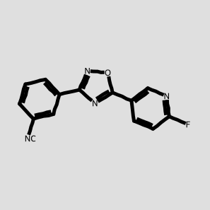 [C-]#[N+]c1cccc(-c2noc(-c3ccc(F)nc3)n2)c1